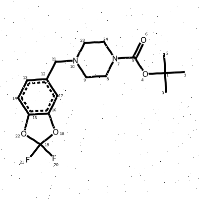 CC(C)(C)OC(=O)N1CCN(Cc2ccc3c(c2)OC(F)(F)O3)CC1